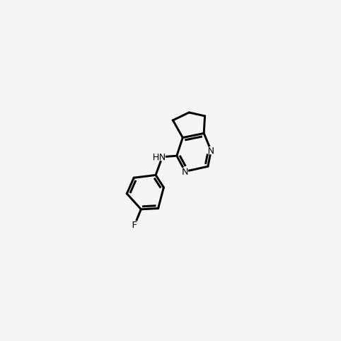 Fc1ccc(Nc2ncnc3c2CCC3)cc1